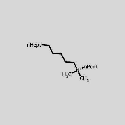 CCCCCCCCCCCC[N+](C)(C)CCCCC